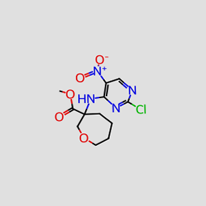 COC(=O)C1(Nc2nc(Cl)ncc2[N+](=O)[O-])CCCCOC1